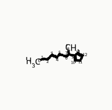 CCCCCCCC(C)C1=[C]CC=C1